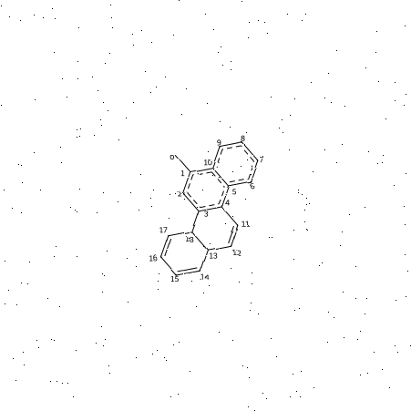 Cc1cc2c(c3ccccc13)C=CC1C=CC=CC21